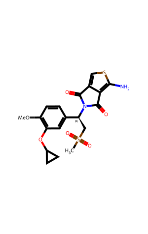 COc1ccc([C@H](CS(C)(=O)=O)N2C(=O)c3csc(N)c3C2=O)cc1OC1CC1